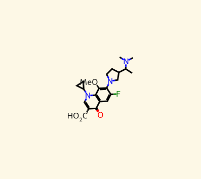 COc1c(N2CCC(C(C)N(C)C)C2)c(F)cc2c(=O)c(C(=O)O)cn(C3CC3)c12